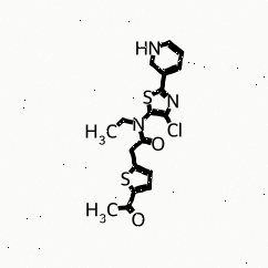 CCN(C(=O)Cc1ccc(C(C)=O)s1)c1sc(C2=CC=CNC2)nc1Cl